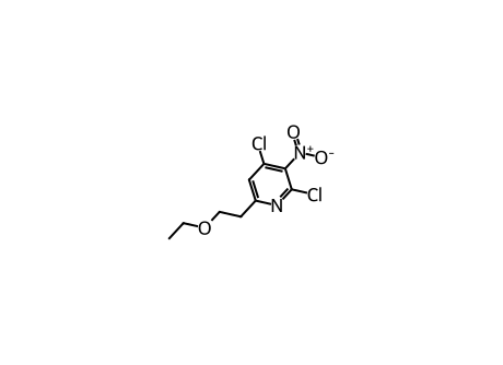 CCOCCc1cc(Cl)c([N+](=O)[O-])c(Cl)n1